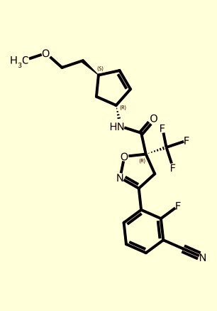 COCC[C@H]1C=C[C@H](NC(=O)[C@@]2(C(F)(F)F)CC(c3cccc(C#N)c3F)=NO2)C1